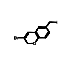 CCC1=Cc2cc(CI)ccc2OC1